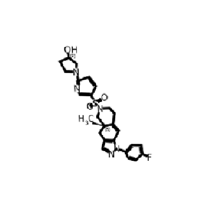 CC[C@]12Cc3cnn(-c4ccc(F)cc4)c3C=C1CCN(S(=O)(=O)c1ccc(N3CC[C@@H](O)C3)nc1)C2